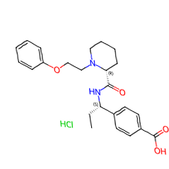 CC[C@H](NC(=O)[C@H]1CCCCN1CCOc1ccccc1)c1ccc(C(=O)O)cc1.Cl